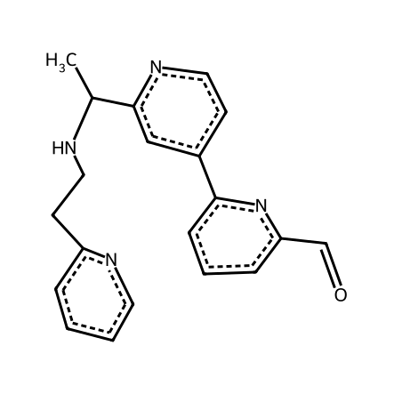 CC(NCCc1ccccn1)c1cc(-c2cccc(C=O)n2)ccn1